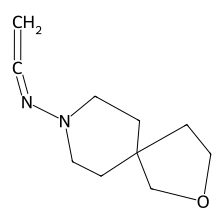 C=C=NN1CCC2(CCOC2)CC1